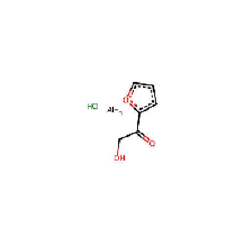 Cl.O=C(CO)c1ccco1.[AlH3]